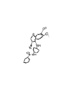 COc1cc2c(Nc3ccc(NC(=O)c4ccccc4)cc3)c(C#N)cnc2cc1O